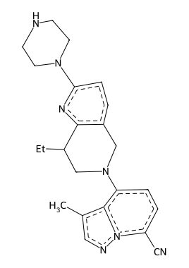 CCC1CN(c2ccc(C#N)n3ncc(C)c23)Cc2ccc(N3CCNCC3)nc21